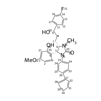 COc1ccc([C@@H]2[C@H](CC[C@H](O)c3ccc(F)cc3)N(C)C(=O)N2c2ccc(-c3ccccc3)cc2)c(O)c1